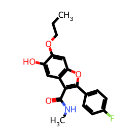 CCCOc1cc2oc(-c3ccc(F)cc3)c(C(=O)NC)c2cc1O